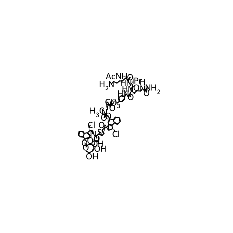 CC(=O)N[C@@H](CCCCN)C(=O)N[C@H](C(=O)N[C@@H](CCCNC(N)=O)C(=O)Nc1ccc(COC(=O)N(C)CCN(C)C(=O)Oc2cc3c(c4ccccc24)[C@H](CCl)CN3C(=O)c2ccc(C(=O)N3C[C@@H](CCl)c4c3cc(O[C@@H]3OCC(O)C[C@H](O)C(O)[C@@H]3O)c3ccccc43)s2)cc1)C(C)C